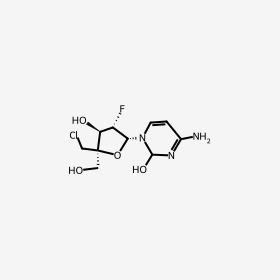 NC1=NC(O)N([C@@H]2O[C@@](CO)(CCl)[C@@H](O)[C@@H]2F)C=C1